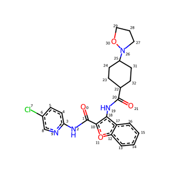 O=C(Nc1ccc(Cl)cn1)c1oc2ccccc2c1NC(=O)C1CCC(N2CCCO2)CC1